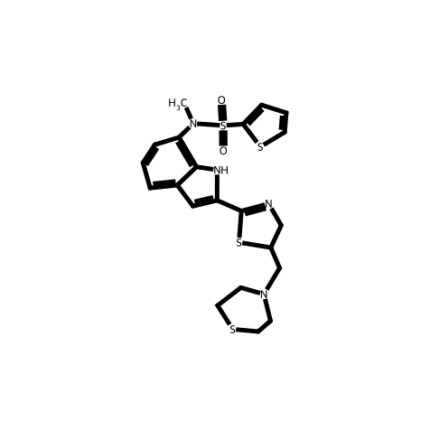 CN(c1cccc2cc(C3=NCC(CN4CCSCC4)S3)[nH]c12)S(=O)(=O)c1cccs1